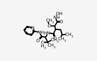 COC(C(=O)NO)C(CC(C)C)C(=O)NC(C(=O)Nc1ccccn1)C(C)(C)C